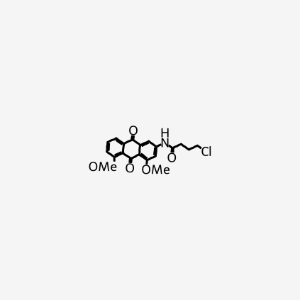 COc1cccc2c1C(=O)c1c(OC)cc(NC(=O)CCCCl)cc1C2=O